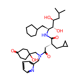 CC(C)C[C@H](O)[C@H](O)[C@H](CC1CCCCC1)NC(=O)[C@@H](CC(=O)N(Cc1ccccn1)CC1(O)CCC(=O)CC1)CC1CC1